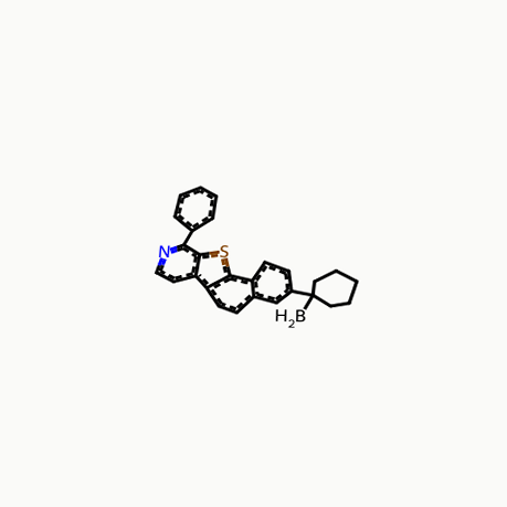 BC1(c2ccc3c(ccc4c5ccnc(-c6ccccc6)c5sc34)c2)CCCCC1